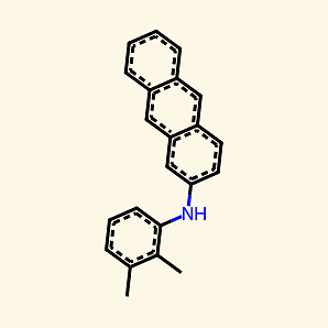 Cc1cccc(Nc2ccc3cc4ccccc4cc3c2)c1C